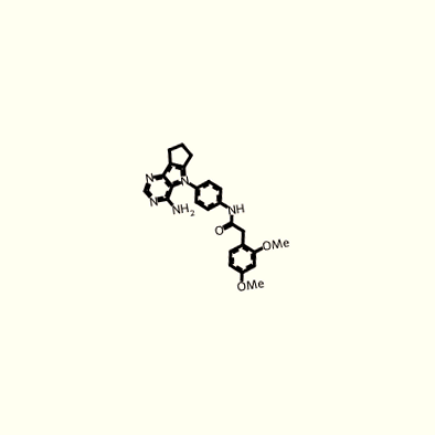 COc1ccc(CC(=O)Nc2ccc(-n3c4c(c5ncnc(N)c53)CCC4)cc2)c(OC)c1